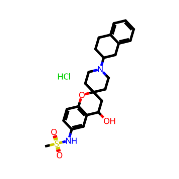 CS(=O)(=O)Nc1ccc2c(c1)C(O)CC1(CCN(C3CCc4ccccc4C3)CC1)O2.Cl